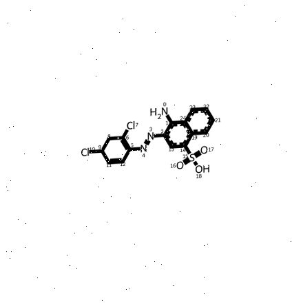 Nc1c(/N=N/C2=C(Cl)CC(Cl)C=C2)cc(S(=O)(=O)O)c2ccccc12